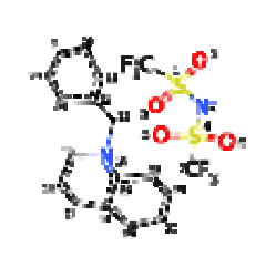 O=S(=O)([N-]S(=O)(=O)C(F)(F)F)C(F)(F)F.c1ccc(C[n+]2cccc3ccccc32)cc1